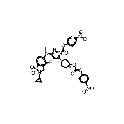 O=C(Oc1ccc([N+](=O)[O-])cc1)O[C@@H]1CC[C@H](c2cc(Nc3ccc4c(c3F)CN(C3CC3)S4(=O)=O)nn2C(=O)Oc2ccc([N+](=O)[O-])cc2)C1